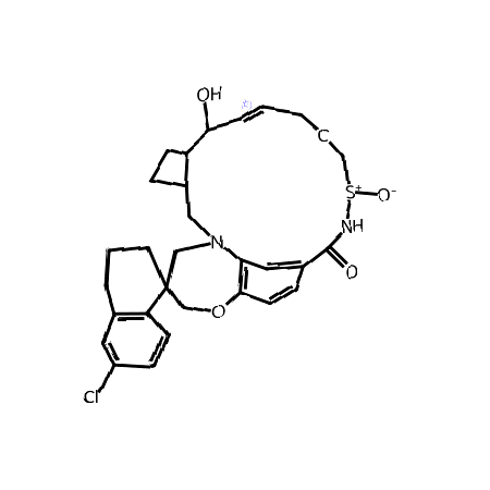 O=C1N[S+]([O-])CCC/C=C/C(O)C2CCC2CN2CC3(CCCc4cc(Cl)ccc43)COc3ccc1cc32